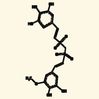 COc1cc(/C=C/S(=O)(=O)CS(=O)(=O)/C=C/c2cc(O)c(O)c(O)c2)cc(O)c1O